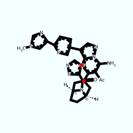 CC(=O)c1c(C2C[C@H]3CC[C@@H](C2)N3C(=O)c2nnc[nH]2)nc2c(-c3ccc(-c4cn(C)cn4)nc3)cnn2c1N